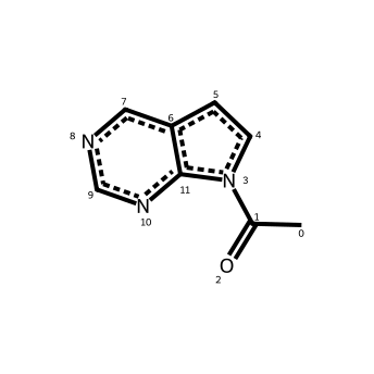 CC(=O)n1ccc2cncnc21